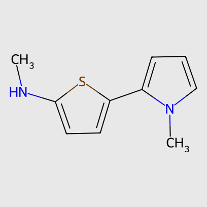 CNc1ccc(-c2cccn2C)s1